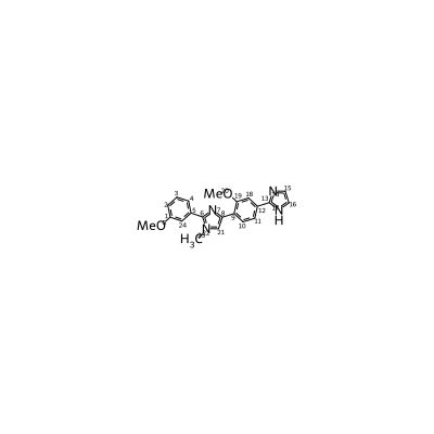 COc1cccc(-c2nc(-c3ccc(-c4ncc[nH]4)cc3OC)cn2C)c1